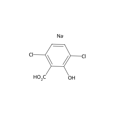 O=C(O)c1c(Cl)ccc(Cl)c1O.[Na]